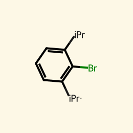 C[C](C)c1cccc(C(C)C)c1Br